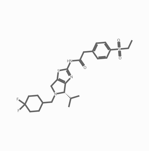 CCS(=O)(=O)c1ccc(CC(=O)Nc2nc3c(s2)CN(CC2CCC(F)(F)CC2)[C@H]3C(C)C)cc1